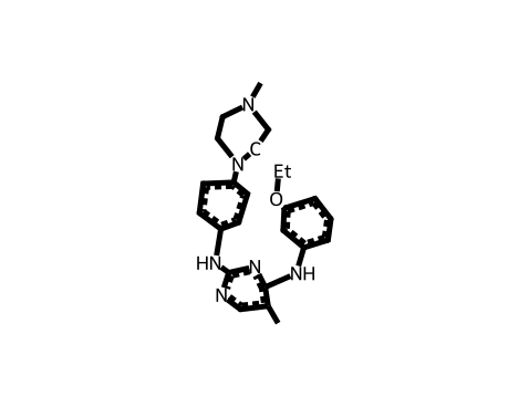 CCOc1cccc(Nc2nc(Nc3ccc(N4CCN(C)CC4)cc3)ncc2C)c1